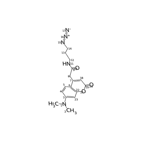 CN(C)c1ccc2c(CC(=O)NCCCN=[N+]=[N-])cc(=O)oc2c1